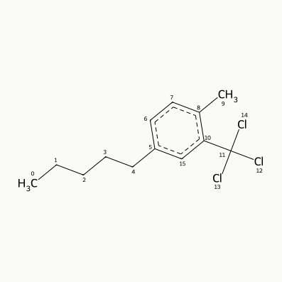 CCCCCc1ccc(C)c(C(Cl)(Cl)Cl)c1